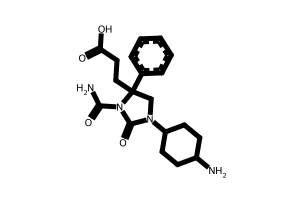 NC(=O)N1C(=O)N(C2CCC(N)CC2)CC1(CCC(=O)O)c1ccccc1